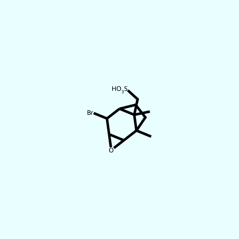 CC1(CS(=O)(=O)O)C2CCC1(C)C1OC1C2Br